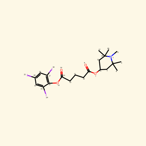 CN1C(C)(C)CC(OC(=O)CCCC(=O)Oc2c(I)cc(I)cc2I)CC1(C)C